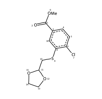 COC(=O)c1ccc(Cl)c(SCC2OCCO2)c1